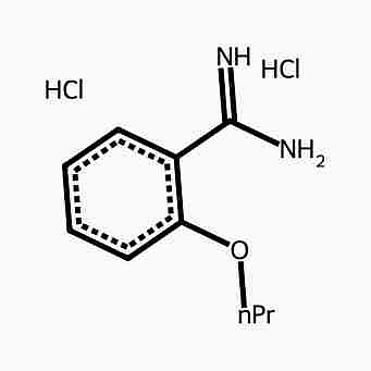 CCCOc1ccccc1C(=N)N.Cl.Cl